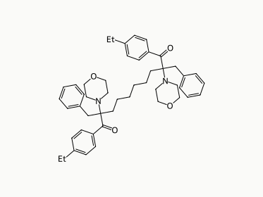 CCc1ccc(C(=O)C(CCCCCCC(Cc2ccccc2)(C(=O)c2ccc(CC)cc2)N2CCOCC2)(Cc2ccccc2)N2CCOCC2)cc1